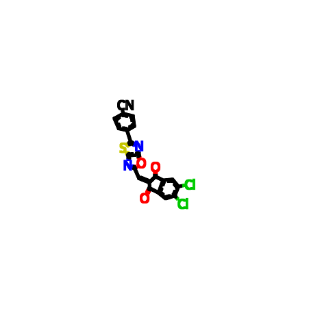 N#Cc1ccc(-c2nc3oc(C=C4C(=O)c5cc(Cl)c(Cl)cc5C4=O)nc3s2)cc1